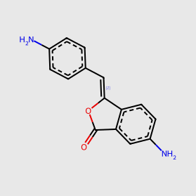 Nc1ccc(/C=C2\OC(=O)c3cc(N)ccc32)cc1